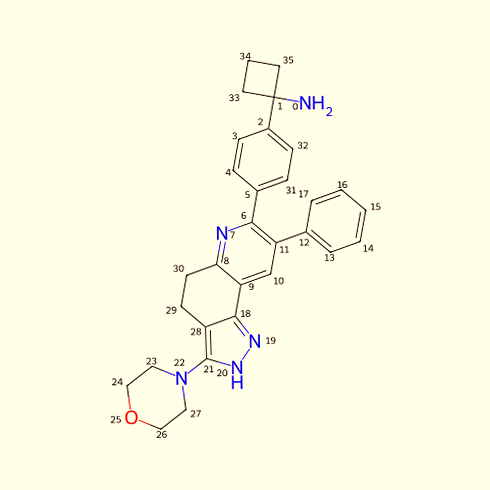 NC1(c2ccc(-c3nc4c(cc3-c3ccccc3)-c3n[nH]c(N5CCOCC5)c3CC4)cc2)CCC1